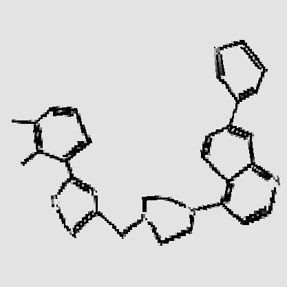 Cc1cccc(-c2nc(CN3CCN(c4ccnc5cc(-c6cccnc6)ccc45)CC3)no2)c1C